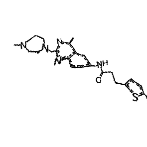 Cc1nc(N2CCN(C)CC2)nc2ccc(NC(=O)CCc3ccc(Cl)s3)cc12